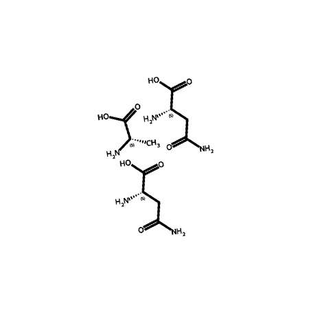 C[C@H](N)C(=O)O.NC(=O)C[C@H](N)C(=O)O.NC(=O)C[C@H](N)C(=O)O